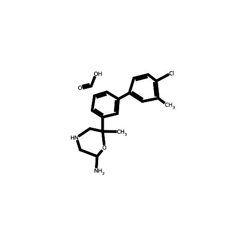 Cc1cc(-c2cccc(C3(C)CNCC(N)O3)c2)ccc1Cl.O=CO